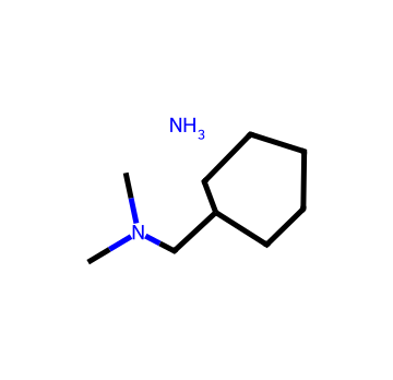 CN(C)CC1CCCCC1.N